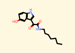 CCCCCCCNC(=O)C(=O)c1c[nH]c2ccc(O)cc12